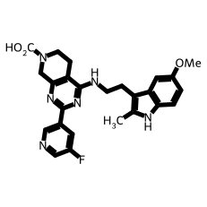 COc1ccc2[nH]c(C)c(CCNc3nc(-c4cncc(F)c4)nc4c3CCN(C(=O)O)C4)c2c1